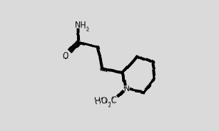 NC(=O)CCC1CCCCN1C(=O)O